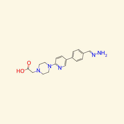 NN=Cc1ccc(-c2ccc(N3CCN(CC(=O)O)CC3)nc2)cc1